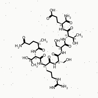 C[C@@H](CCC(N)=O)C(=O)N[C@H](C(=O)N[C@@H](CCCNC(=N)N)C(=O)N[C@@H](CO)C(=O)N[C@@H](CO)C(=O)N[C@H](C(=O)N[C@@H](CCC(=O)O)C(N)=O)[C@@H](C)O)[C@@H](C)O